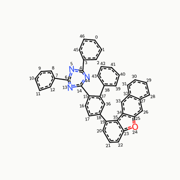 c1ccc(-c2nc(-c3ccccc3)nc(-c3ccc(-c4cccc5oc6cc7ccccc7cc6c45)cc3-c3ccccc3)n2)cc1